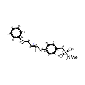 CNS(=O)(=O)Cc1ccc(N/N=C/CSc2ccccc2)cc1